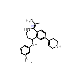 C/C(N)=C1/NCCC(Nc2cccc(P)c2)c2cc(C3=CCNCC3)ccc21